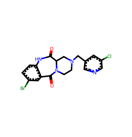 O=C1Nc2ccc(Br)cc2C(=O)N2CCN(Cc3cncc(Cl)c3)CC12